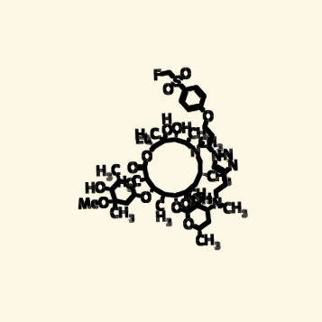 CC[C@H]1OC(=O)[C@H](C)[C@@H](O[C@H]2C[C@@](C)(OC)[C@@H](O)[C@H](C)O2)[C@H](C)[C@@H](O[C@@H]2O[C@H](C)C[C@H](N(C)CCc3cn(CCCOc4ccc(S(=O)(=O)CF)cc4)nn3)[C@H]2O)[C@](C)(O)C[C@@H](C)CN(C)[C@H](C)[C@@H](O)[C@]1(C)O